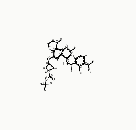 Cc1nc(N[C@H](C)c2cccc(C(F)F)c2F)c2cc(OC3CN(C(=O)OC(C)(C)C)C3)c3c(c2n1)N(C)CCO3